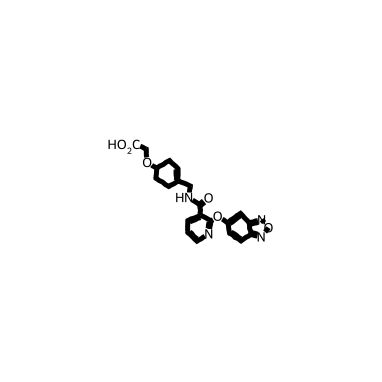 O=C(O)COC1CC=C(CNC(=O)c2cccnc2Oc2ccc3nonc3c2)CC1